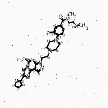 CNCCN(C)C(=O)c1ccc(N2CCN(CCn3ncc4c3nc(N)n3nc(-c5ccco5)nc43)CC2)c(F)c1